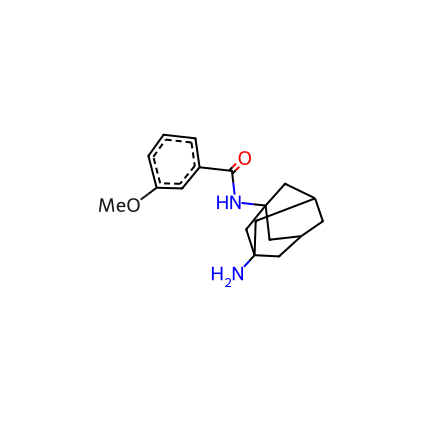 COc1cccc(C(=O)NC23CC4CC(CC(N)(C4)C2)C3)c1